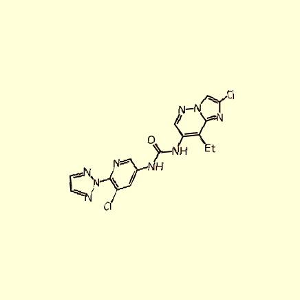 CCc1c(NC(=O)Nc2cnc(-n3nccn3)c(Cl)c2)cnn2cc(Cl)nc12